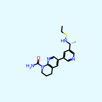 CCSN[C@H](C)c1cncc(-c2cnc3c(c2)CCCN3C(N)=O)c1